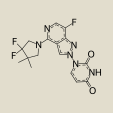 CC1(C)CN(c2ncc(F)c3nn(-n4ccc(=O)[nH]c4=O)cc23)CC1(F)F